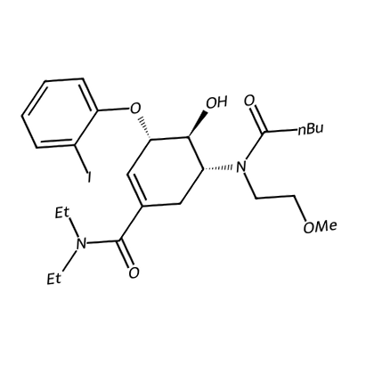 CCCCC(=O)N(CCOC)[C@@H]1CC(C(=O)N(CC)CC)=C[C@H](Oc2ccccc2I)[C@H]1O